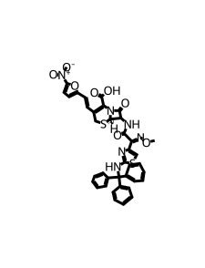 CON=C(C(=O)NC1C(=O)N2C(C(=O)O)=C(C=Cc3ccc([N+](=O)[O-])o3)CS[C@@H]12)c1csc(NC(c2ccccc2)(c2ccccc2)c2ccccc2)n1